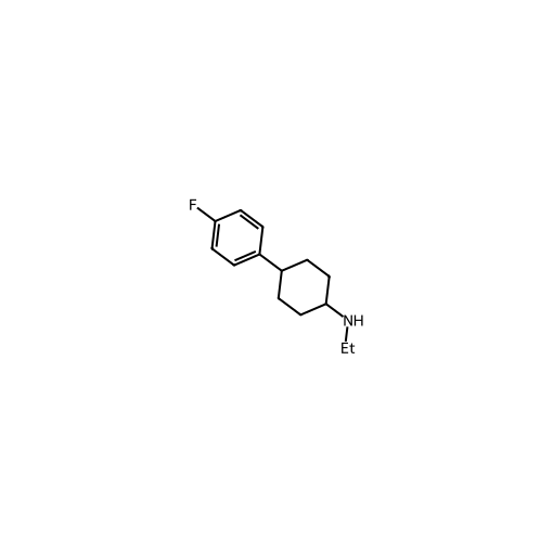 CCNC1CCC(c2ccc(F)cc2)CC1